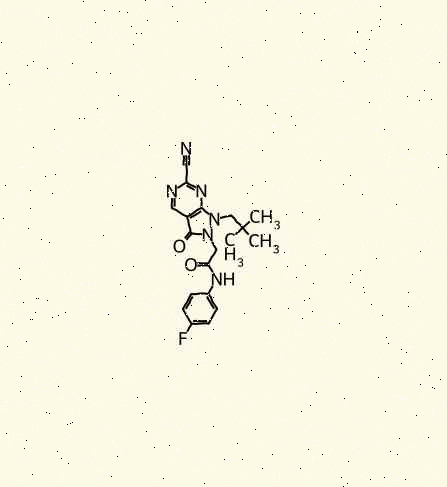 CC(C)(C)Cn1c2nc(C#N)ncc2c(=O)n1CC(=O)Nc1ccc(F)cc1